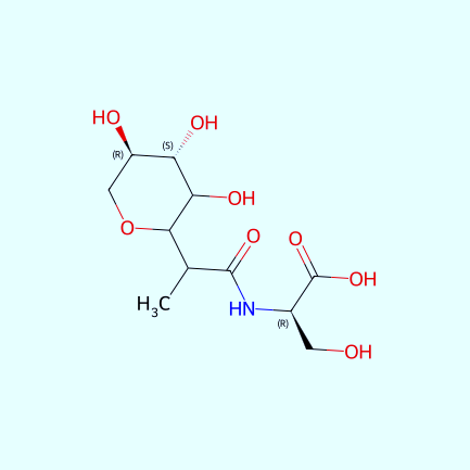 CC(C(=O)N[C@H](CO)C(=O)O)C1OC[C@@H](O)[C@H](O)C1O